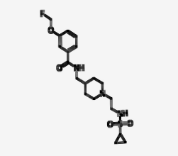 O=C(NCC1CCN(CCNS(=O)(=O)C2CC2)CC1)c1cccc(OCF)c1